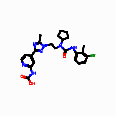 Cc1c(Br)cccc1NC(=O)N(CCn1nc(-c2ccnc(NC(=O)O)c2)nc1C)C1CCCC1